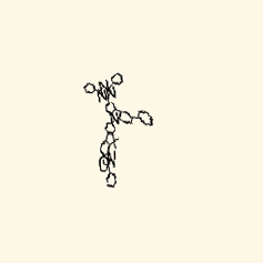 CC1(C)c2cc(-n3c4ccc(-c5ccccc5)cc4c4cc(-c5nc(-c6ccccc6)nc(-c6ccccc6)n5)ccc43)ccc2-c2ccc3oc(-c4ccccc4)nc3c21